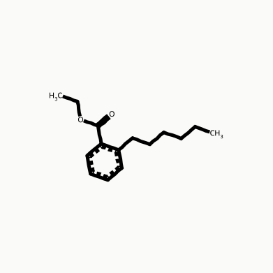 CCCCCCc1ccccc1C(=O)OCC